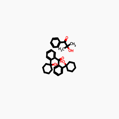 CC(C)(O)C(=O)c1ccccc1.O=C(c1ccccc1C1(O)CCCCC1)c1ccccc1C1(O)CCCCC1